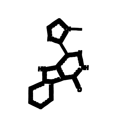 Cn1ccnc1-c1n[nH]c(=O)c2c1[nH]c1ccccc12